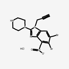 C#CCn1c(N2CCNCC2)nc2c([N+](=O)[O-])c(Br)c(Br)cc21.Cl